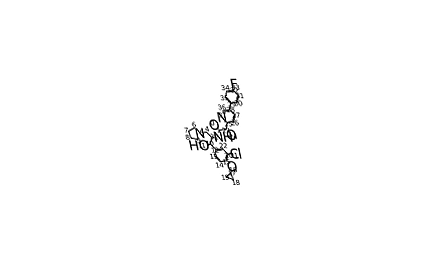 O=C(NC(CN1CCCC1)C(O)c1ccc(OC2CC2)c(Cl)c1)C(=O)c1ccc(-c2ccc(F)cc2)cn1